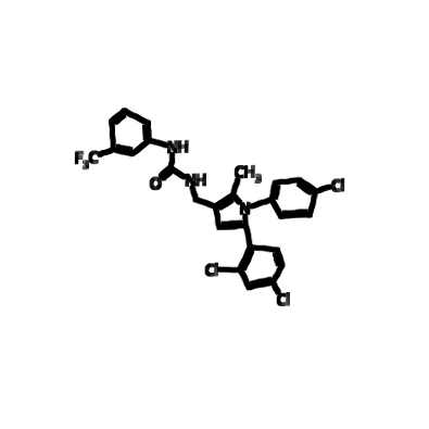 Cc1c(CNC(=O)Nc2cccc(C(F)(F)F)c2)cc(-c2ccc(Cl)cc2Cl)n1-c1ccc(Cl)cc1